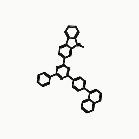 C[SiH]1c2ccccc2-c2ccc(-c3nc(-c4ccccc4)nc(-c4ccc(-c5cccc6ccccc56)cc4)n3)cc21